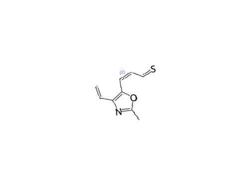 C=Cc1nc(C)oc1/C=C\C=S